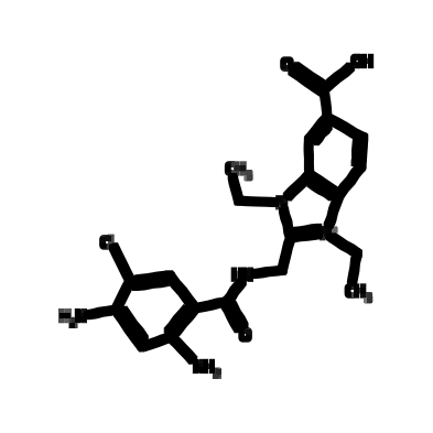 CCn1c(CNC(=O)c2cc(Cl)c(N)cc2N)[n+](CC)c2ccc(C(=O)O)cc21